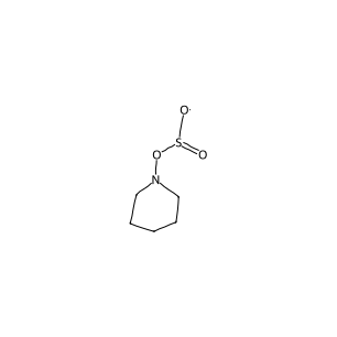 [O]S(=O)ON1CCCCC1